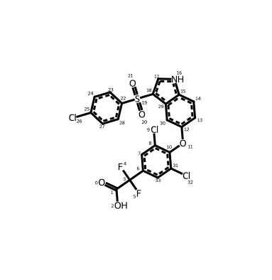 O=C(O)C(F)(F)c1cc(Cl)c(Oc2ccc3[nH]cc(S(=O)(=O)c4ccc(Cl)cc4)c3c2)c(Cl)c1